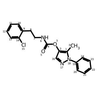 Cc1c(OC(=O)NCCc2ccccc2Cl)cnn1-c1ccccc1